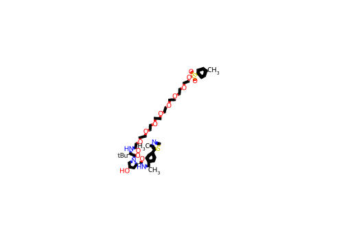 Cc1ccc(S(=O)(=O)OCCOCCOCCOCCOCCOCCOCCOCC(=O)N[C@H](C(=O)N2C[C@H](O)C[C@H]2C(=O)N[C@@H](C)c2ccc(-c3scnc3C)cc2)C(C)(C)C)cc1